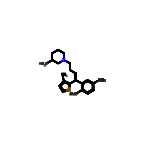 COc1ccc(OC)c(C(=CCCN2CCCC(C(=O)O)C2)c2sccc2C)c1